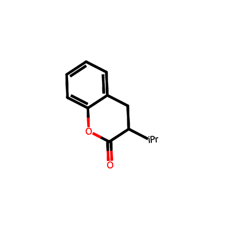 CC(C)C1Cc2ccccc2OC1=O